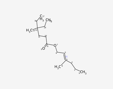 CCC/C(C)=C/COC(=O)CCC(C)(CC)CC